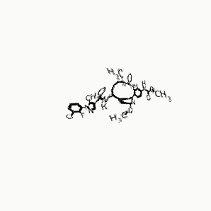 COC(=O)Nc1ccc2c(c1)NC(=O)[C@@H](C)CCC[C@H](NC(=O)c1cnn(-c3cccc(Cl)c3F)c1C)c1cc(OC)nc-2c1